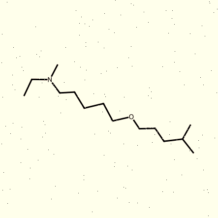 CCN(C)CCCCCOCCCC(C)C